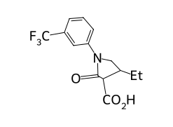 CCC1CN(c2cccc(C(F)(F)F)c2)C(=O)C1C(=O)O